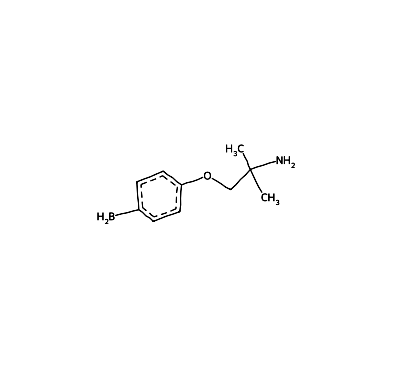 Bc1ccc(OCC(C)(C)N)cc1